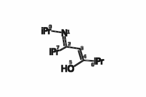 CC(C)/N=C(/C=C(\O)C(C)C)C(C)C